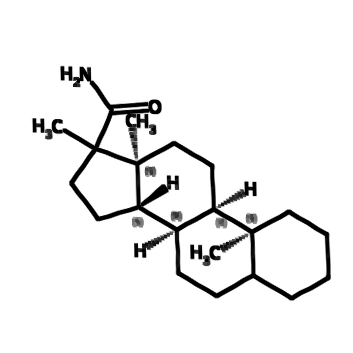 CC1(C(N)=O)CC[C@H]2[C@@H]3CCC4CCCC[C@]4(C)[C@@H]3CC[C@@]21C